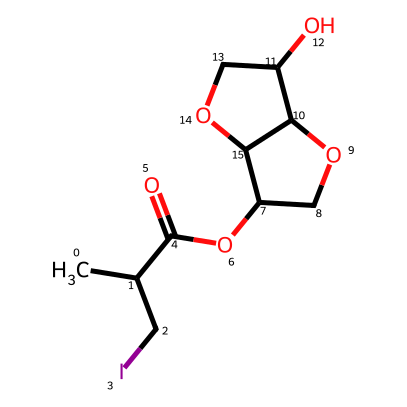 CC(CI)C(=O)OC1COC2C(O)COC12